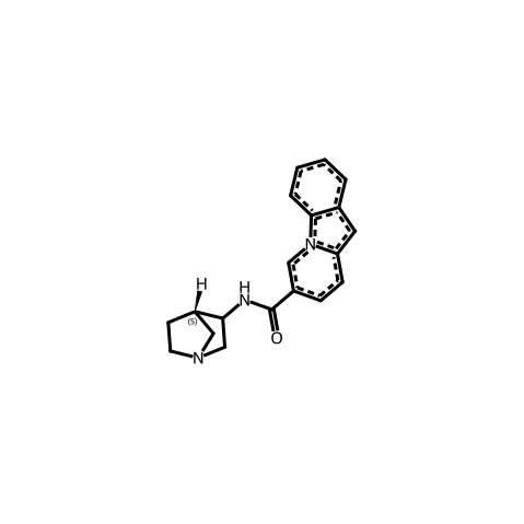 O=C(NC1CN2CC[C@H]1C2)c1ccc2cc3ccccc3n2c1